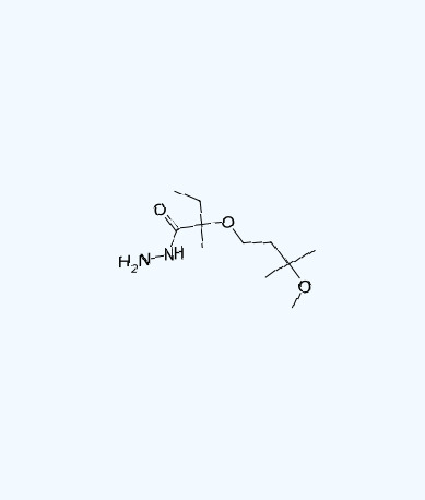 CCC(C)(OCCC(C)(C)OC)C(=O)NN